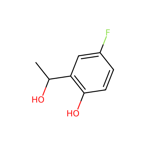 CC(O)c1cc(F)ccc1O